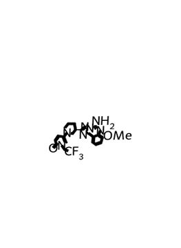 COc1cccc2c1nc(N)n1nc([C@@H]3CCCN(c4ccc(=O)n(CC(F)(F)F)c4)C3)nc21